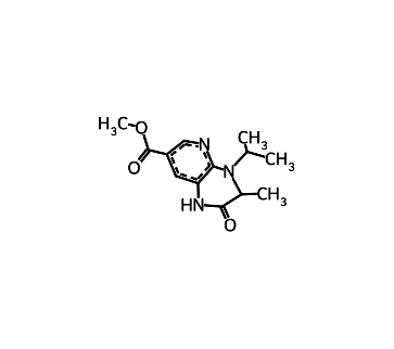 COC(=O)c1cnc2c(c1)NC(=O)C(C)N2C(C)C